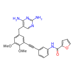 COc1cc(Cc2cnc(N)nc2N)cc(C#Cc2cccc(NC(=O)c3ccco3)c2)c1OC